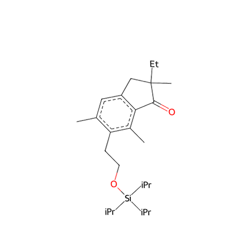 CCC1(C)Cc2cc(C)c(CCO[Si](C(C)C)(C(C)C)C(C)C)c(C)c2C1=O